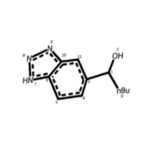 CCCCC(O)c1ccc2[nH]nnc2c1